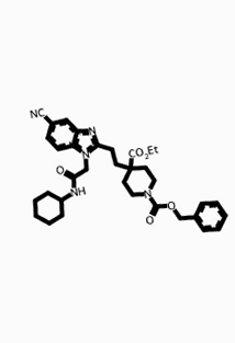 CCOC(=O)C1(CCc2nc3cc(C#N)ccc3n2CC(=O)NC2CCCCC2)CCN(C(=O)OCc2ccccc2)CC1